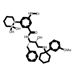 CCNc1cc(C(=O)N[C@@H](Cc2ccccc2)[C@H](O)CNC2(c3cccc(OC)c3)CCCCC2)cc(N2CCCCS2(O)O)c1